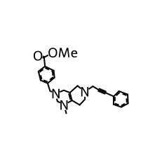 COC(=O)c1ccc(CN2CC3=C(CCN(CC#Cc4ccccc4)C3)N(C)C2)cc1